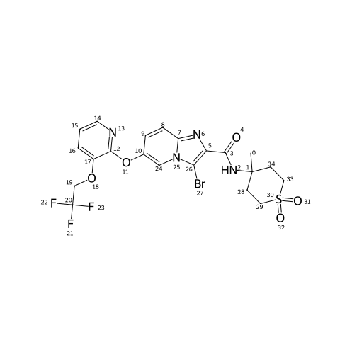 CC1(NC(=O)c2nc3ccc(Oc4ncccc4OCC(F)(F)F)cn3c2Br)CCS(=O)(=O)CC1